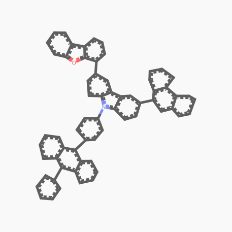 c1ccc(-c2c3ccccc3c(-c3ccc(-n4c5ccc(-c6cc7ccccc7c7ccccc67)cc5c5cc(-c6cccc7c6oc6ccccc67)ccc54)cc3)c3ccccc23)cc1